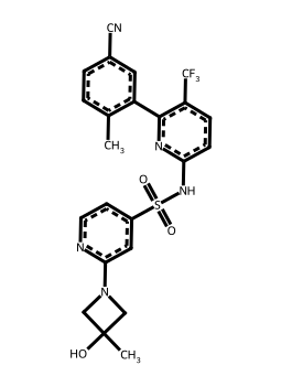 Cc1ccc(C#N)cc1-c1nc(NS(=O)(=O)c2ccnc(N3CC(C)(O)C3)c2)ccc1C(F)(F)F